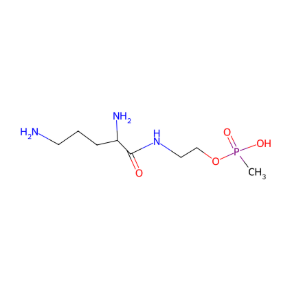 CP(=O)(O)OCCNC(=O)C(N)CCCN